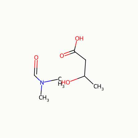 CC(O)CC(=O)O.CN(C)C=O